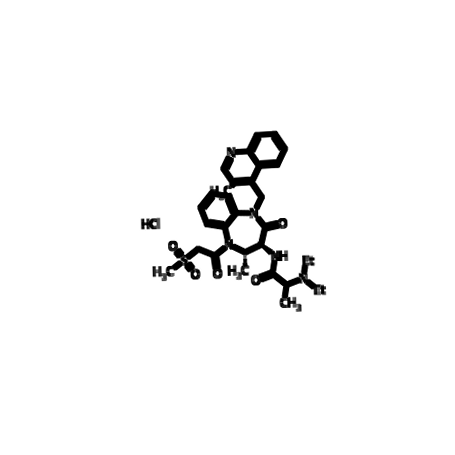 CCN(CC)C(C)C(=O)N[C@@H]1C(=O)N(Cc2c(C)cnc3ccccc23)c2ccccc2N(C(=O)CS(C)(=O)=O)[C@H]1C.Cl